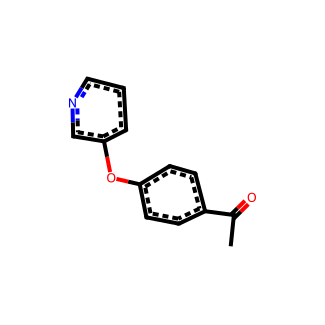 CC(=O)c1ccc(Oc2cccnc2)cc1